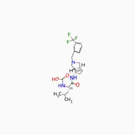 CC(C)C[C@H](NC(=O)O)C(=O)N[C@H]1CC[C@@H]2CN(Cc3cccc(C(F)(F)F)c3)C[C@@H]21